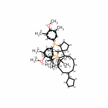 COc1c(C)cc(P(c2cc(C)c(OC)c(C)c2)C2CCCC2(C2CCCCC(C3CCCC3)CCCC2)C(C)P(C(C)(C)C)C(C)(C)C)cc1C